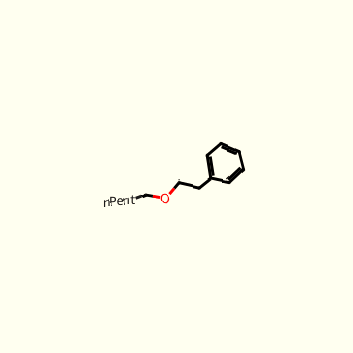 CCCCCCO[CH]Cc1ccccc1